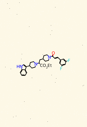 CCOC(=O)C(CC1CCN(C(=O)C=Cc2cc(F)cc(F)c2)CC1)N1CCC(c2c[nH]c3ccccc23)CC1